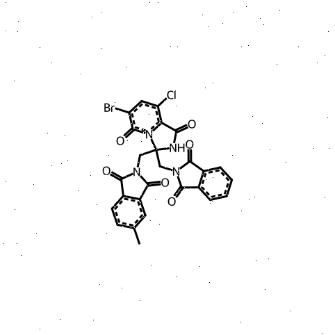 Cc1ccc2c(c1)C(=O)N(CC1(CN3C(=O)c4ccccc4C3=O)NC(=O)c3c(Cl)cc(Br)c(=O)n31)C2=O